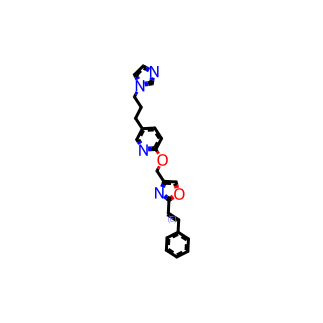 C(=C\c1nc(COc2ccc(CCCn3ccnc3)cn2)co1)/c1ccccc1